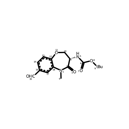 CN1C(=O)[C@@H](NC(=O)OC(C)(C)C)COc2ccc(C=O)cc21